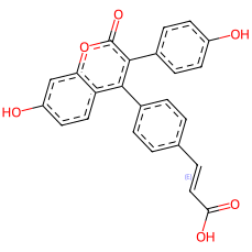 O=C(O)/C=C/c1ccc(-c2c(-c3ccc(O)cc3)c(=O)oc3cc(O)ccc23)cc1